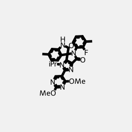 COc1ncc(-c2nc3c(n2C(C)C)C2(C(=O)Nc4cc(C)ccc42)N(c2cccc(C)c2F)C3=O)c(OC)n1